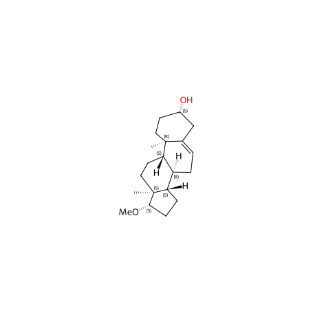 CO[C@H]1CC[C@H]2[C@@H]3CC=C4C[C@@H](O)CC[C@]4(C)[C@H]3CC[C@]12C